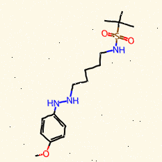 COc1ccc(NNCCCCCNS(=O)(=O)C(C)(C)C)cc1